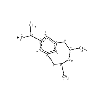 CC1Cc2nc(nc(C(C)C)n2)CC(C)S1